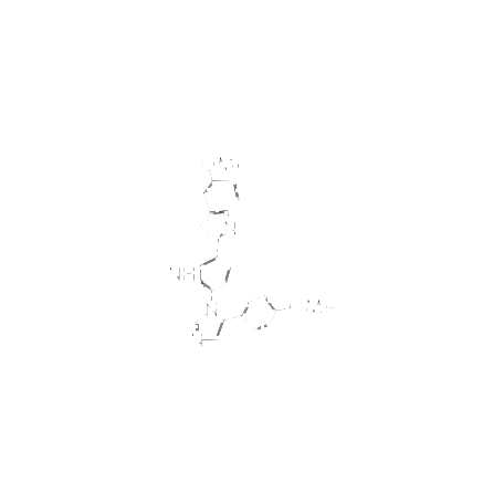 COc1ccc(-c2cncn2-c2ccc(-c3nc4ccc(OC)cc4s3)cc2)cc1.N